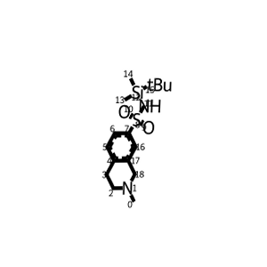 CN1CCc2ccc(S(=O)(=O)N[Si](C)(C)C(C)(C)C)cc2C1